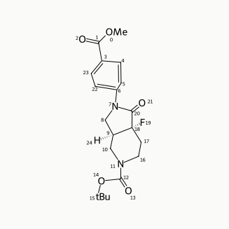 COC(=O)c1ccc(N2C[C@@H]3CN(C(=O)OC(C)(C)C)CC[C@]3(F)C2=O)cc1